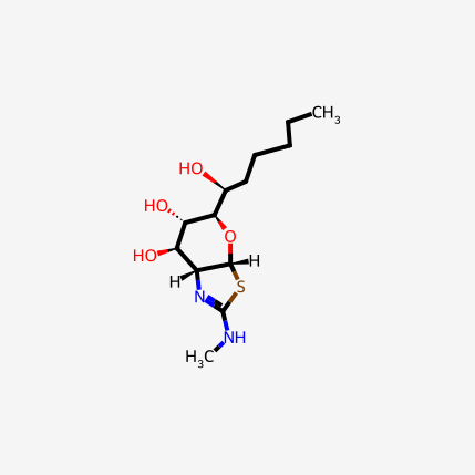 CCCCC[C@H](O)[C@H]1O[C@@H]2SC(NC)=N[C@@H]2[C@@H](O)[C@@H]1O